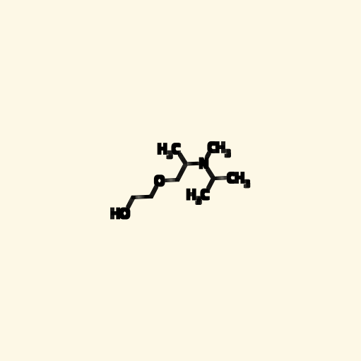 CC(C)N(C)C(C)COCCO